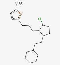 O=C(O)c1ccc(CCCC2C(Cl)CCC2CCC2CCCCC2)s1